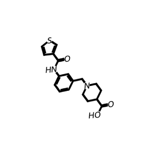 O=C(Nc1cccc(CN2CCC(C(=O)O)CC2)c1)c1ccsc1